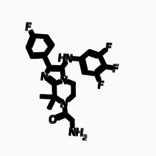 CC1(C)c2nc(-c3ccc(F)cc3)c(Nc3cc(F)c(F)c(F)c3)n2CCN1C(=O)CN